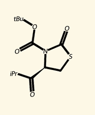 CC(C)C(=O)[C@@H]1CSC(=O)N1C(=O)OC(C)(C)C